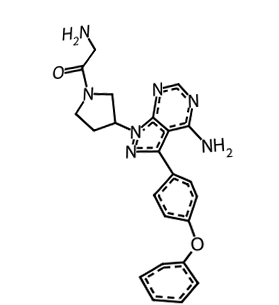 NCC(=O)N1CCC(n2nc(-c3ccc(Oc4ccccc4)cc3)c3c(N)ncnc32)C1